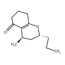 CCC[C@@H]1C[C@@H](C)C2=C(CCCC2=O)O1